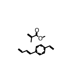 C=C(C)C(=O)OC.C=CC=Cc1ccc(C=C)cc1